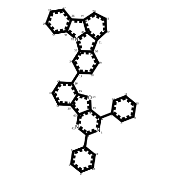 c1ccc(-c2nc(-c3ccccc3)c3oc4c(-c5ccc6c7cccc8c9ccccc9n(c6c5)c87)cccc4c3n2)cc1